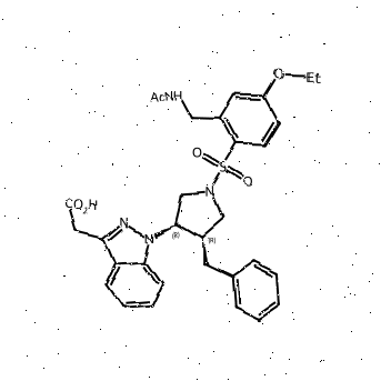 CCOc1ccc(S(=O)(=O)N2C[C@@H](Cc3ccccc3)[C@@H](n3nc(CC(=O)O)c4ccccc43)C2)c(CNC(C)=O)c1